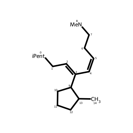 CCCC(C)C/C=C(/C=C\CCNC)C1CCCC1C